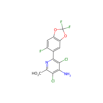 Nc1c(Cl)c(C(=O)O)nc(-c2cc3c(cc2F)OC(F)(F)O3)c1Cl